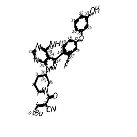 CC(C)(C)C=C(C#N)C(=O)N1CCC[C@@H](n2nc(-c3ccc(Oc4cccc(O)c4)cc3F)c3c(N)ncnc32)C1